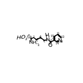 NC(CCCCNC(=O)c1cccnc1)C(=O)O